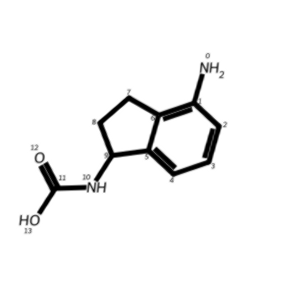 Nc1cccc2c1CCC2NC(=O)O